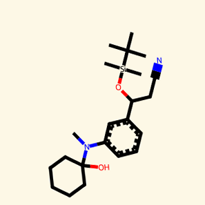 CN(c1cccc(C(CC#N)O[Si](C)(C)C(C)(C)C)c1)C1(O)CCCCC1